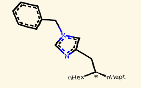 CCCCCCC[C@@H](CCCCCC)Cc1cn(Cc2ccccc2)cn1